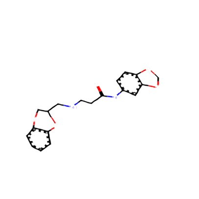 O=C(CCNCC1COc2ccccc2O1)Nc1ccc2c(c1)OCO2